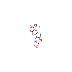 CC(=O)c1cc2ccc(O)c(CN3CCOCC3)c2oc1=O